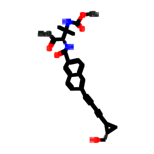 COC(=O)[C@@H](NC(=O)c1ccc2cc(C#CC#CC3C[C@@H]3CO)ccc2c1)C(C)(C)NC(=O)OC(C)(C)C